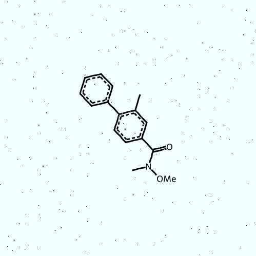 CON(C)C(=O)c1ccc(-c2ccccc2)c(C)c1